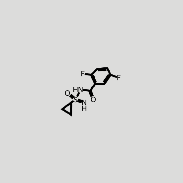 N=S(=O)(NC(=O)c1cc(F)ccc1F)C1CC1